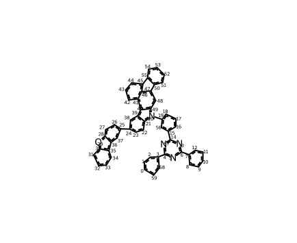 c1ccc(-c2nc(-c3ccccc3)nc(-c3cccc(-n4c5ccc(-c6ccc7oc8ccccc8c7c6)cc5c5c6cccc7c6c(cc54)-c4ccccc4-7)c3)n2)cc1